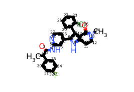 CC(C(=O)Nc1cc(-c2[nH]c3ccn(C)c(=O)c3c2-c2ccccc2Cl)ccn1)c1ccc(F)cc1